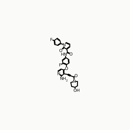 Nc1nccc(Oc2ccc(NC(=O)c3cccn(-c4ccc(F)cc4)c3=O)cc2F)c1C#CC(=O)N1CCC(O)CC1